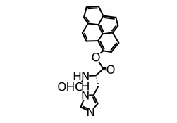 O=CN[C@@H](Cc1cnc[nH]1)C(=O)Oc1ccc2ccc3cccc4ccc1c2c34